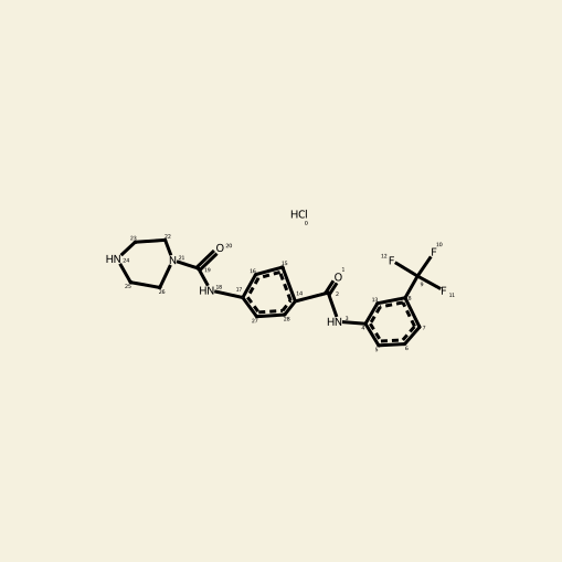 Cl.O=C(Nc1cccc(C(F)(F)F)c1)c1ccc(NC(=O)N2CCNCC2)cc1